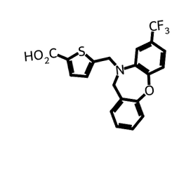 O=C(O)c1ccc(CN2Cc3ccccc3Oc3ccc(C(F)(F)F)cc32)s1